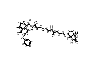 CC1=C(C(=O)OCc2ccccc2)N(C=O)[C@H]([C@H](C)NC(=O)CCOCCNC(=O)CCCC[C@@H]2SC[C@@H]3NC(=O)N[C@@H]32)SC1